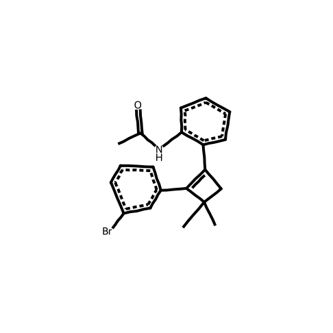 CC(=O)Nc1ccccc1C1=C(c2cccc(Br)c2)C(C)(C)C1